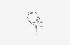 Nc1c2cccc1C(=O)N2